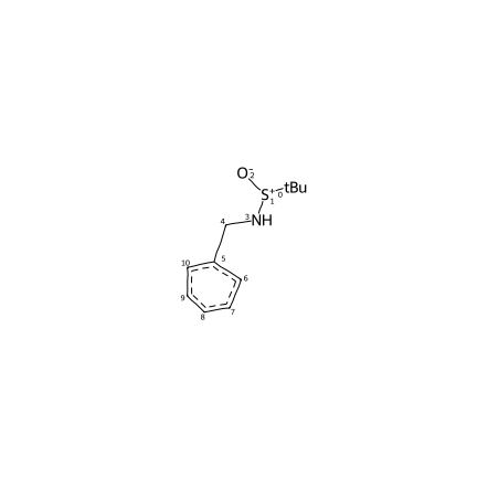 CC(C)(C)[S+]([O-])NCc1ccccc1